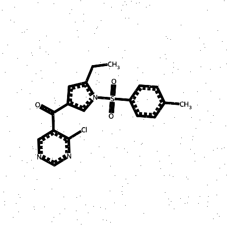 CCc1cc(C(=O)c2cncnc2Cl)cn1S(=O)(=O)c1ccc(C)cc1